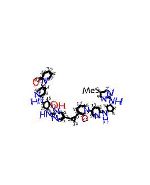 CSc1cnc(N[C@H]2C=C[C@H](Nc3ccc(-n4cccc(C5CC5c5cnc(N[C@H]6C[C@H](Nc7ccc(-n8ccccc8=O)cn7)CC6O)nc5)c4=O)cn3)C2)nc1